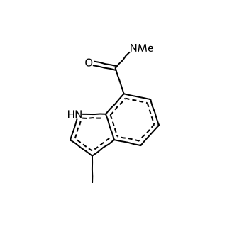 CNC(=O)c1cccc2c(C)c[nH]c12